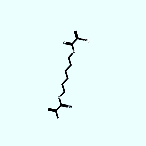 C=C(C)C(=N)OCCCCCCOC(=O)C(=C)N